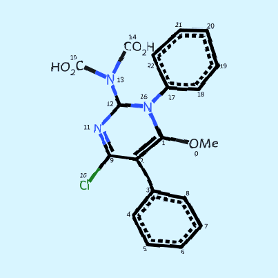 COC1=C(c2ccccc2)C(Cl)=NC(N(C(=O)O)C(=O)O)N1c1ccccc1